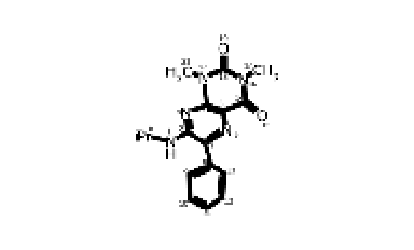 CC(C)Nc1nc2c(nc1-c1ccccc1)c(=O)n(C)c(=O)n2C